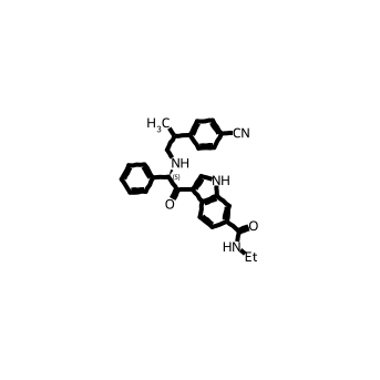 CCNC(=O)c1ccc2c(C(=O)[C@@H](NCC(C)c3ccc(C#N)cc3)c3ccccc3)c[nH]c2c1